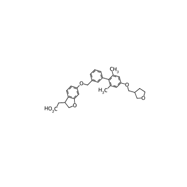 Cc1cc(OCC2CCOC2)cc(C)c1-c1cccc(COc2ccc3c(c2)OCC3CC(=O)O)c1